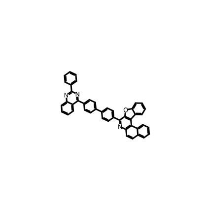 c1ccc(-c2nc(-c3ccc(-c4ccc(-c5nc6ccc7ccccc7c6c6c5oc5ccccc56)cc4)cc3)c3ccccc3n2)cc1